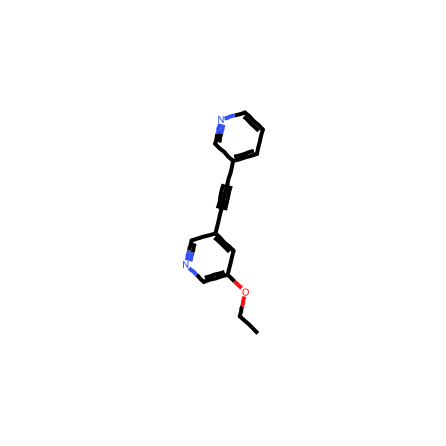 CCOc1cncc(C#Cc2cccnc2)c1